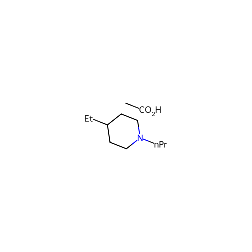 CC(=O)O.CCCN1CCC(CC)CC1